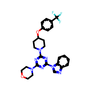 FC(F)(F)c1ccc(OC2CCN(c3nc(N4CCOCC4)nc(-n4cnc5ccccc54)n3)CC2)cc1